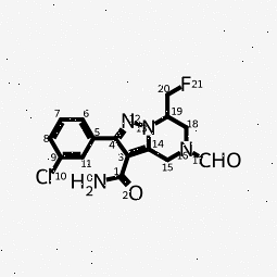 NC(=O)c1c(-c2cccc(Cl)c2)nn2c1CN(C=O)CC2CF